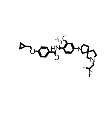 Cc1cc(N2CCC3(CCN(CC(F)F)C3)C2)ccc1NC(=O)c1ccc(OCC2CC2)cc1